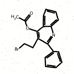 CC(=O)Oc1c(CCBr)c(-c2ccccc2)nc2ccccc12